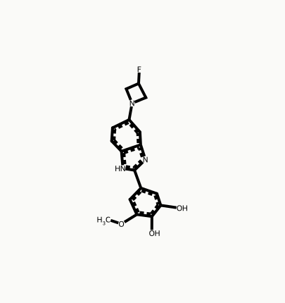 COc1cc(-c2nc3cc(N4CC(F)C4)ccc3[nH]2)cc(O)c1O